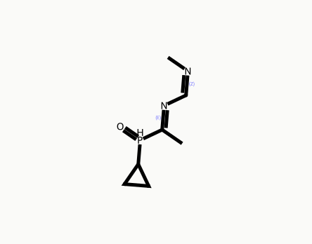 C/N=C\N=C(/C)[PH](=O)C1CC1